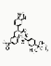 CC(C)(C)c1ccc(S(=O)(=O)NC(=O)C(Cc2cccc([N+](=O)[O-])c2)c2ccc3nsnc3c2)cc1